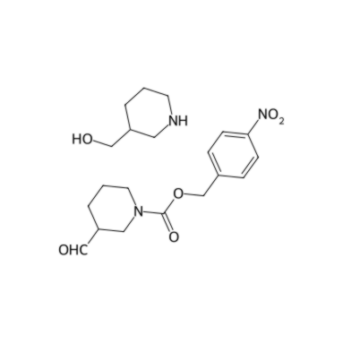 O=CC1CCCN(C(=O)OCc2ccc([N+](=O)[O-])cc2)C1.OCC1CCCNC1